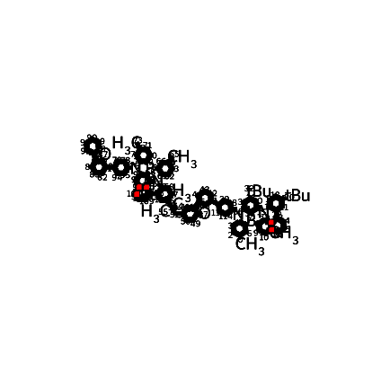 Cc1ccc2c(c1)B1c3ccc(C)cc3N(c3ccc(C(C)(C)C)cc3-c3ccccc3)c3cc(C(C)(C)C)cc(c31)N2c1ccc(-c2cccc3c2oc2ccc(CC(C)(C)c4ccc(N5c6ccc(C)cc6B6c7ccc(C)cc7N(c7ccc(-c8cccc9c8oc8ccccc89)cc7)c7cc(C(C)(C)C)cc5c76)c(-c5ccccc5)c4)cc23)cc1